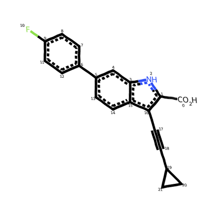 O=C(O)c1[nH]c2cc(-c3ccc(F)cc3)ccc2c1C#CC1CC1